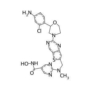 CN(Cc1cc2nc(N3CCOC(c4ccc(N)cc4Cl)C3)ncc2s1)c1ncc(C(=O)NO)cn1